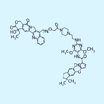 CC[C@@]1(O)C(=O)OCc2c1cc1n(c2=O)Cc2c-1nc1ccccc1c2/C=N/OCC(=O)N1CCN(CCNc2nc(OC)c(NC(=O)c3ccc(Oc4cc5c(cc4C)CCC5(C)C)o3)c(OC)n2)CC1